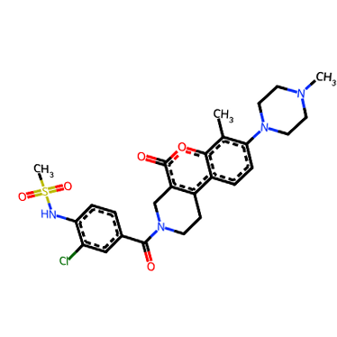 Cc1c(N2CCN(C)CC2)ccc2c3c(c(=O)oc12)CN(C(=O)c1ccc(NS(C)(=O)=O)c(Cl)c1)CC3